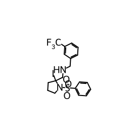 O=C(NCc1cccc(C(F)(F)F)c1)C1(I)CCCN1S(=O)(=O)c1ccccc1